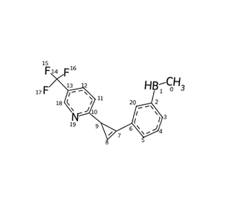 CBc1cccc(C2=CC2c2ccc(C(F)(F)F)cn2)c1